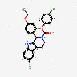 N#CCOc1ccc(C2c3[nH]c4ccc(Cl)cc4c3CCN2C(=O)Oc2ccc(F)cc2)cc1